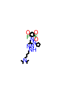 COc1cc(OC)c(F)c(N2Cc3cnc(NCCCCCN(C(C)C)C(C)C)nc3N(C3CCCC3)C2=O)c1F